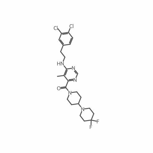 Cc1c(NCCc2ccc(Cl)c(Cl)c2)ncnc1C(=O)N1CCC(N2CCC(F)(F)CC2)CC1